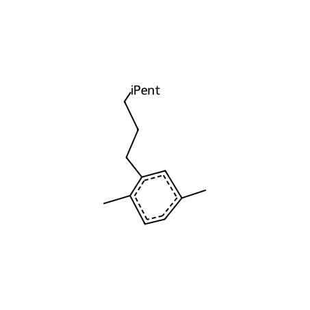 CCCC(C)CCCc1cc(C)ccc1C